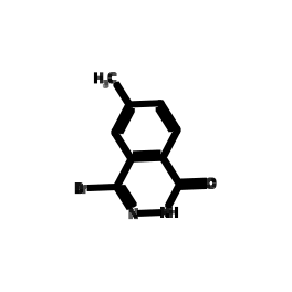 Cc1ccc2c(=O)[nH]nc(Br)c2c1